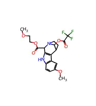 COCCOC(=O)C1c2[nH]c3ccc(OC)cc3c2C2CCN1C2OC(=O)C(F)(F)F